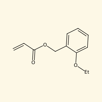 C=CC(=O)OCc1ccccc1OCC